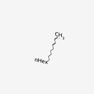 C/[C]=C/C=CCCCCCCCCCCC